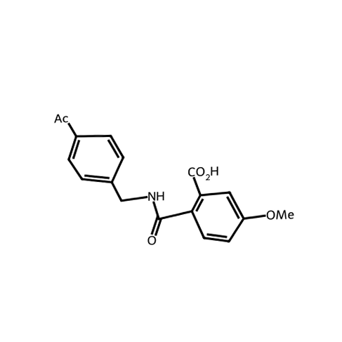 COc1ccc(C(=O)NCc2ccc(C(C)=O)cc2)c(C(=O)O)c1